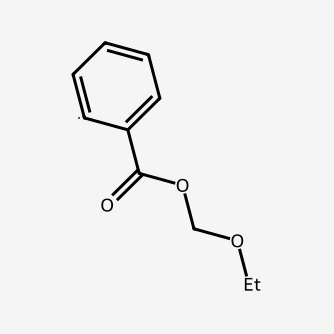 CCOCOC(=O)c1[c]cccc1